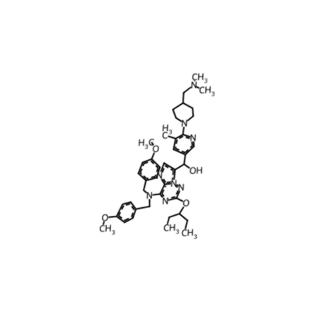 CCC(CC)Oc1nc(N(Cc2ccc(OC)cc2)Cc2ccc(OC)cc2)c2ncc(C(O)c3cnc(N4CCC(CN(C)C)CC4)c(C)c3)n2n1